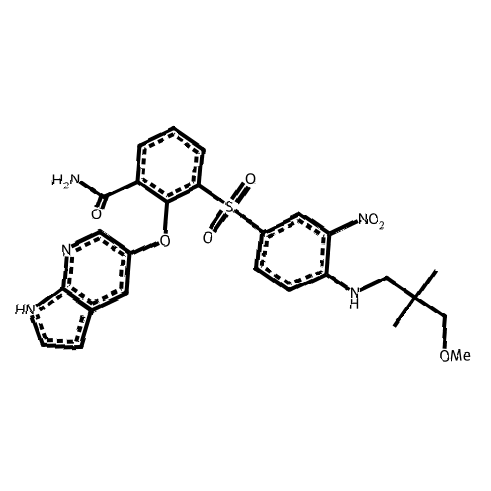 COCC(C)(C)CNc1ccc(S(=O)(=O)c2cccc(C(N)=O)c2Oc2cnc3[nH]ccc3c2)cc1[N+](=O)[O-]